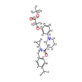 CC(C)c1ccc(CN(C(=O)[C@@H]2CCCN(c3cccc(OC(C)(C)C(=O)OC(C)(C)C)c3)C2)C2CC2)cc1